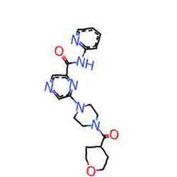 O=C(Nc1ccccn1)c1cncc(N2CCN(C(=O)C3CCOCC3)CC2)n1